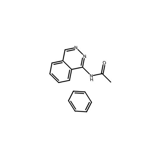 CC(=O)Nc1nncc2ccccc12.c1ccccc1